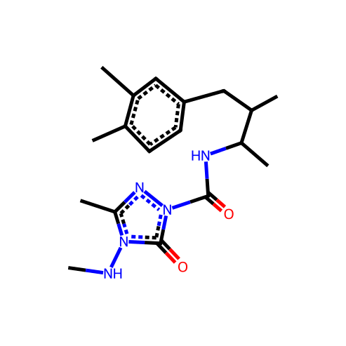 CNn1c(C)nn(C(=O)NC(C)C(C)Cc2ccc(C)c(C)c2)c1=O